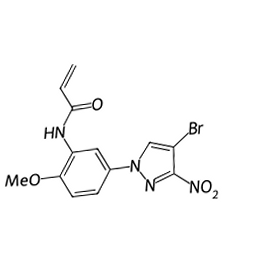 C=CC(=O)Nc1cc(-n2cc(Br)c([N+](=O)[O-])n2)ccc1OC